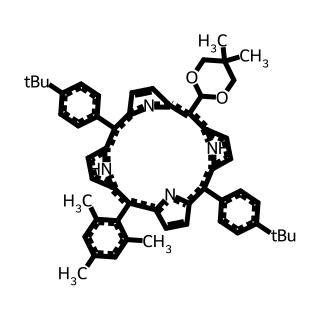 Cc1cc(C)c(-c2c3nc(c(-c4ccc(C(C)(C)C)cc4)c4ccc([nH]4)c(C4OCC(C)(C)CO4)c4nc(c(-c5ccc(C(C)(C)C)cc5)c5ccc2[nH]5)C=C4)C=C3)c(C)c1